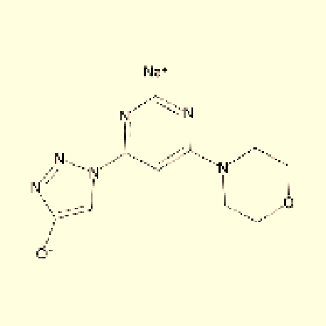 [Na+].[O-]c1cn(-c2cc(N3CCOCC3)ncn2)nn1